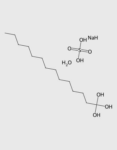 CCCCCCCCCCCCCC(O)(O)O.O.O=S(=O)(O)O.[NaH]